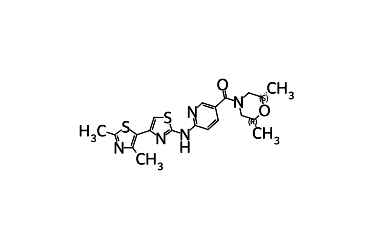 Cc1nc(C)c(-c2csc(Nc3ccc(C(=O)N4C[C@@H](C)O[C@@H](C)C4)cn3)n2)s1